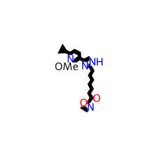 COc1nc(C2CC2)ccc1-c1c[nH]c(CCCCCCC(=O)c2ncco2)n1